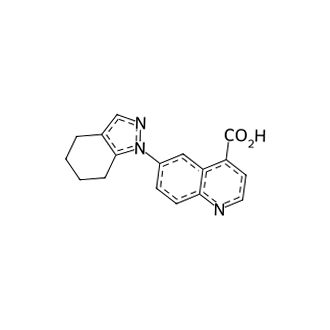 O=C(O)c1ccnc2ccc(-n3ncc4c3CCCC4)cc12